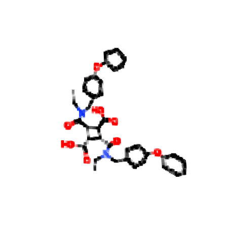 CCN(Cc1ccc(Oc2ccccc2)cc1)C(=O)[C@H]1[C@H](C(=O)O)[C@H](C(=O)N(CC)Cc2ccc(Oc3ccccc3)cc2)[C@H]1C(=O)O